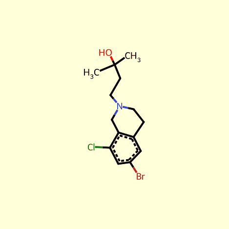 CC(C)(O)CCN1CCc2cc(Br)cc(Cl)c2C1